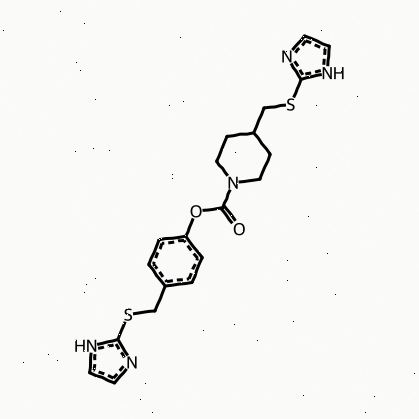 O=C(Oc1ccc(CSc2ncc[nH]2)cc1)N1CCC(CSc2ncc[nH]2)CC1